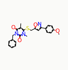 COc1ccc(-c2cc(CSc3c(C)c(=O)n(Cc4ccccc4)c(=O)n3C)on2)cc1